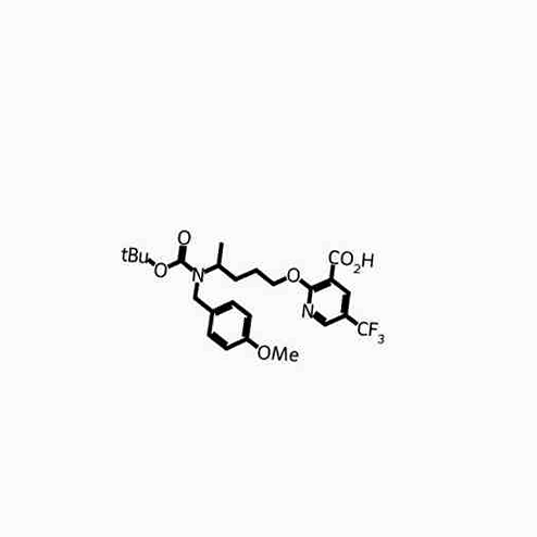 COc1ccc(CN(C(=O)OC(C)(C)C)C(C)CCCOc2ncc(C(F)(F)F)cc2C(=O)O)cc1